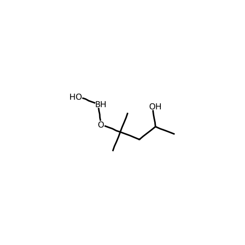 CC(O)CC(C)(C)OBO